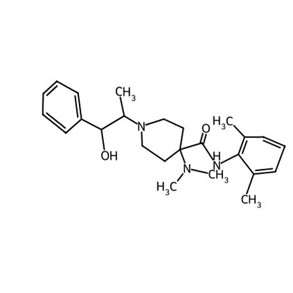 Cc1cccc(C)c1NC(=O)C1(N(C)C)CCN(C(C)C(O)c2ccccc2)CC1